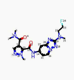 CN(C)C(=O)c1cnn(C)c1C(=O)Nc1ccn2nc(N(C)CCF)nc2c1